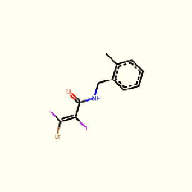 Cc1ccccc1CNC(=O)C(I)=C(Br)I